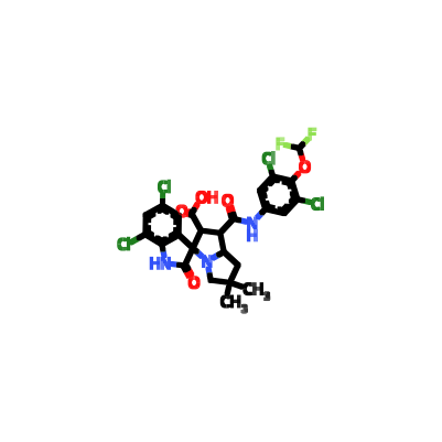 CC1(C)CC2C(C(=O)Nc3cc(Cl)c(OC(F)F)c(Cl)c3)C(C(=O)O)C3(C(=O)Nc4c(Cl)cc(Cl)cc43)N2C1